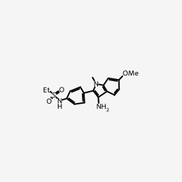 CCS(=O)(=O)Nc1ccc(-c2c(N)c3ccc(OC)cc3n2C)cc1